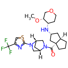 CO[C@@H]1COCC[C@@H]1N[C@@H]1C[C@H]2CCC[C@@]2(C(=O)N2C[C@@H]3C[C@H]2CN3c2nc(C(F)(F)F)cs2)C1